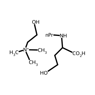 CCCNC(CCO)C(=O)O.C[N+](C)(C)CCO